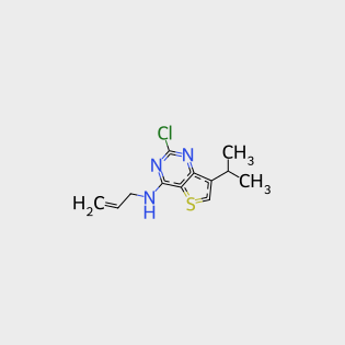 C=CCNc1nc(Cl)nc2c(C(C)C)csc12